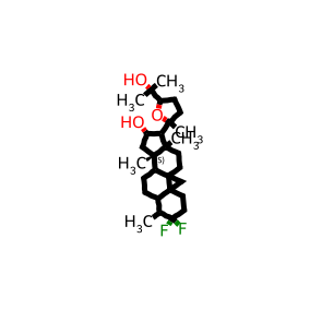 CC1C2CCC3C4(CCC5(C)C(C6(C)CCC(C(C)(C)O)O6)C(O)C[C@@]35C)CC24CCC1(F)F